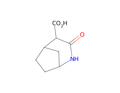 O=C(O)C1C(=O)NC2CCC1C2